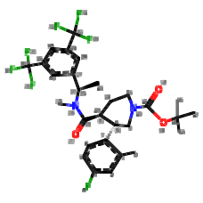 Cc1cc(F)ccc1[C@H]1CN(C(=O)OC(C)(C)C)CC[C@@H]1C(=O)N(C)[C@H](C)c1cc(C(F)(F)F)cc(C(F)(F)F)c1